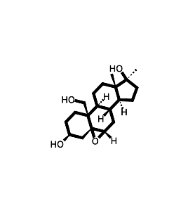 C[C@]1(O)CC[C@H]2[C@@H]3C[C@@H]4O[C@@]45C[C@@H](O)CC[C@]5(CO)[C@H]3CC[C@@]21C